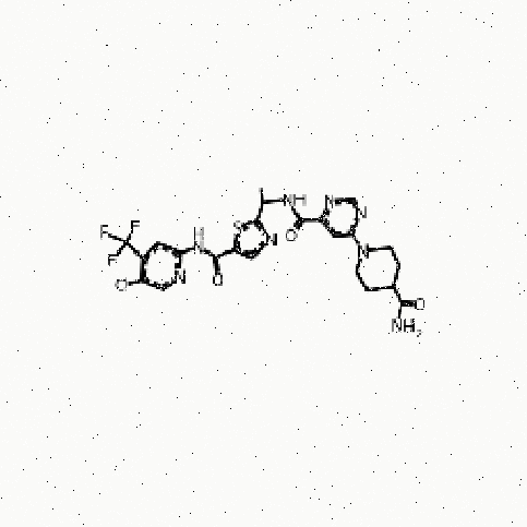 CC(NC(=O)c1cc(N2CCC(C(N)=O)CC2)ncn1)c1ncc(C(=O)Nc2cc(C(F)(F)F)c(Cl)cn2)s1